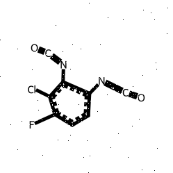 O=C=Nc1ccc(F)c(Cl)c1N=C=O